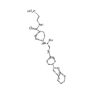 CC[C@H](C)[C@@H](CSc1ccc(-c2cc3ccccc3o2)cc1)Nc1ccc(C(=O)NCCC(=O)O)cc1